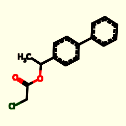 CC(OC(=O)CCl)c1ccc(-c2ccccc2)cc1